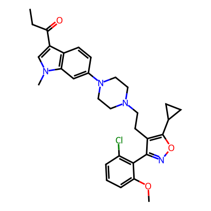 CCC(=O)c1cn(C)c2cc(N3CCN(CCc4c(-c5c(Cl)cccc5OC)noc4C4CC4)CC3)ccc12